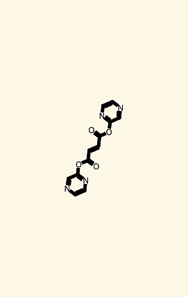 O=C(/C=C/C(=O)Oc1cnccn1)Oc1cnccn1